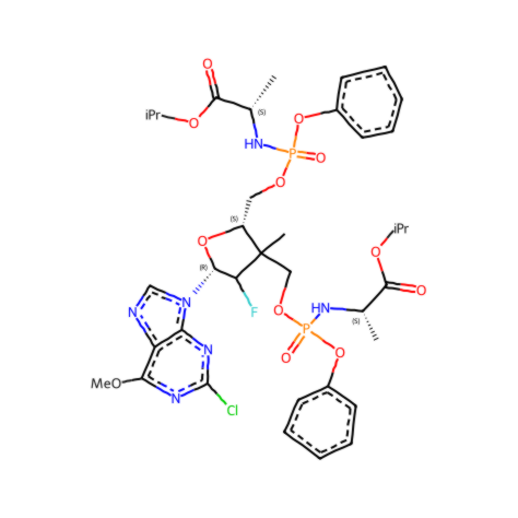 COc1nc(Cl)nc2c1ncn2[C@@H]1O[C@H](COP(=O)(N[C@@H](C)C(=O)OC(C)C)Oc2ccccc2)C(C)(COP(=O)(N[C@@H](C)C(=O)OC(C)C)Oc2ccccc2)C1F